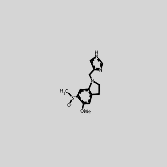 COc1cc2c(cc1[S+](C)[O-])N(Cc1c[nH]cn1)CC2